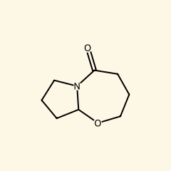 O=C1CCCOC2CCCN12